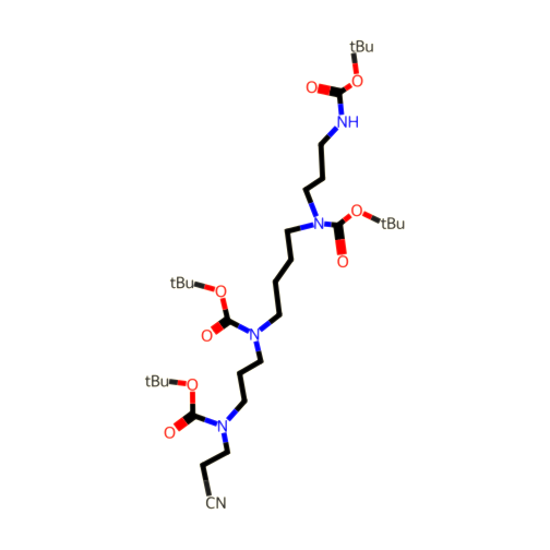 CC(C)(C)OC(=O)NCCCN(CCCCN(CCCN(CCC#N)C(=O)OC(C)(C)C)C(=O)OC(C)(C)C)C(=O)OC(C)(C)C